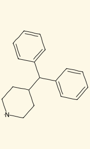 c1ccc(C(c2ccccc2)C2CC[N]CC2)cc1